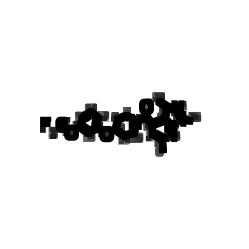 Cc1cc(C(=O)N2CCC(Oc3cccc(OC(F)(F)F)c3)CC2)c2c(C)nn(C)c2n1